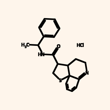 CC(NC(=O)C1CSC23C=CC=CC2=NCCC13)c1ccccc1.Cl